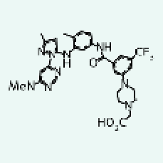 CNc1cc(-n2nc(C)cc2Nc2cc(NC(=O)c3cc(N4CCN(CC(=O)O)CC4)cc(C(F)(F)F)c3)ccc2C)ncn1